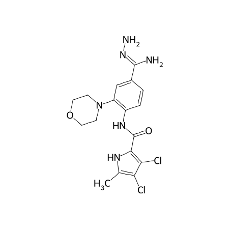 Cc1[nH]c(C(=O)Nc2ccc(/C(N)=N/N)cc2N2CCOCC2)c(Cl)c1Cl